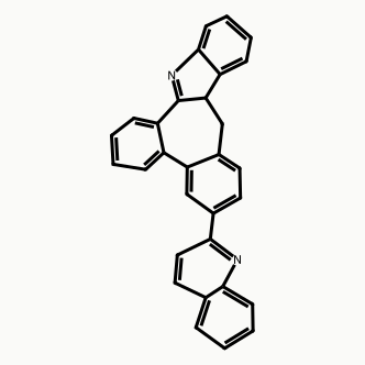 c1ccc2c(c1)N=C1c3ccccc3-c3cc(-c4ccc5ccccc5n4)ccc3CC12